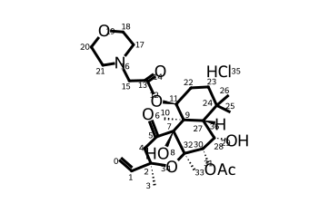 C=C[C@@]1(C)CC(=O)[C@]2(O)[C@@]3(C)[C@@H](OC(=O)CN4CCOCC4)CCC(C)(C)[C@@H]3[C@H](O)[C@H](OC(C)=O)[C@@]2(C)O1.Cl